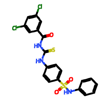 O=C(NC(=S)Nc1ccc(S(=O)(=O)Nc2ccccc2)cc1)c1cc(Cl)cc(Cl)c1